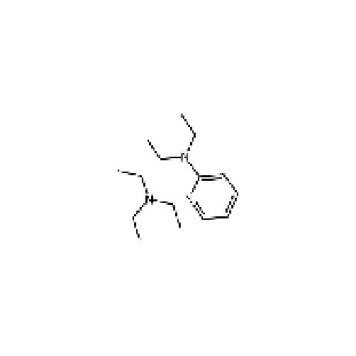 CCN(CC)CC.CCN(CC)c1ccccn1